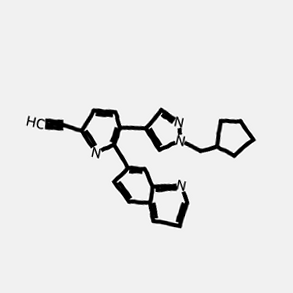 C#Cc1ccc(-c2cnn(CC3CCCC3)c2)c(-c2ccc3cccnc3c2)n1